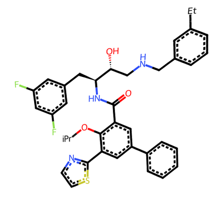 CCc1cccc(CNC[C@@H](O)[C@H](Cc2cc(F)cc(F)c2)NC(=O)c2cc(-c3ccccc3)cc(-c3nccs3)c2OC(C)C)c1